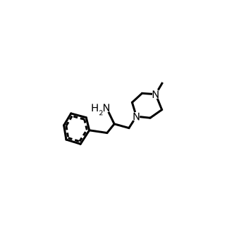 CN1CCN(CC(N)Cc2ccccc2)CC1